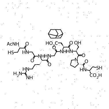 C1C2CC3CC1CC(C2)C3.CC(=O)N[C@@H](CS)C(=O)NCC(=O)N[C@@H](CCCNC(=N)N)C(=O)NCC(=O)N[C@@H](CC(=O)O)C(=O)N[C@@H](CO)C(=O)N1CCC[C@H]1C(=O)N[C@@H](CS)C(=O)O